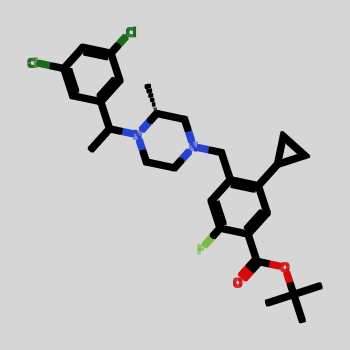 CC(c1cc(Cl)cc(Cl)c1)N1CCN(Cc2cc(F)c(C(=O)OC(C)(C)C)cc2C2CC2)C[C@H]1C